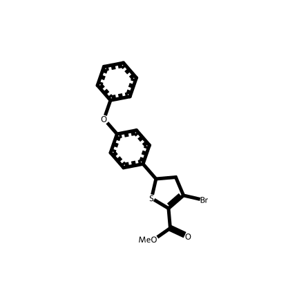 COC(=O)C1=C(Br)CC(c2ccc(Oc3ccccc3)cc2)S1